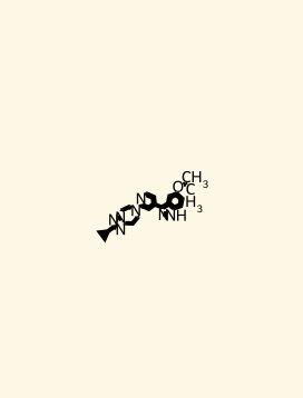 CC(C)Oc1ccc2[nH]nc(-c3ccnc(N4CCc5nc(C6CC6)nn5CC4)c3)c2c1